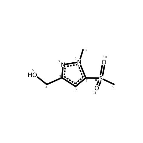 Cn1nc(CO)cc1S(C)(=O)=O